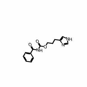 O=C(NC(=O)c1ccccc1)OCCCc1c[nH]cn1